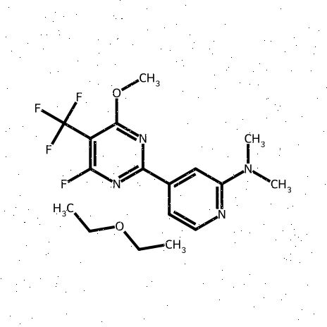 CCOCC.COc1nc(-c2ccnc(N(C)C)c2)nc(F)c1C(F)(F)F